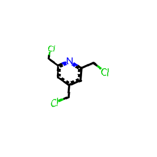 ClCc1cc(CCl)nc(CCl)c1